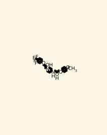 COc1ccc(OC[C@@H](O)CNC2CCN(C[C@H](O)COc3ccc(C(F)(F)F)c(F)c3)CC2)cc1